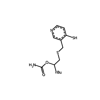 CCCCC(CSCc1cnccc1S)OC(N)=O